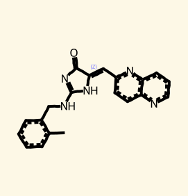 Cc1ccccc1CNC1=NC(=O)/C(=C/c2ccc3ncccc3n2)N1